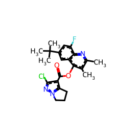 Cc1nc2c(F)cc(C(C)(C)C)cc2c(OC(=O)c2c(Cl)nn3c2CCC3)c1C